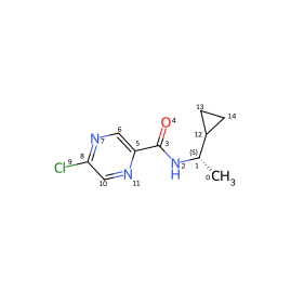 C[C@H](NC(=O)c1cnc(Cl)cn1)C1CC1